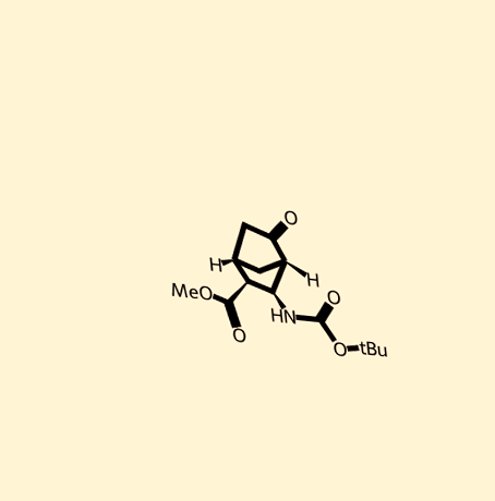 COC(=O)[C@H]1[C@@H]2CC(=O)[C@@H](C2)[C@H]1NC(=O)OC(C)(C)C